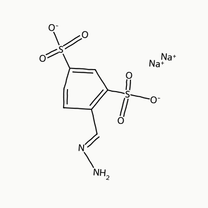 NN=Cc1ccc(S(=O)(=O)[O-])cc1S(=O)(=O)[O-].[Na+].[Na+]